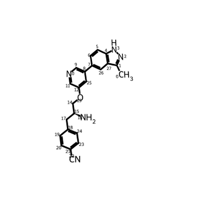 Cc1n[nH]c2ccc(-c3cncc(OC[C@@H](N)Cc4ccc(C#N)cc4)c3)cc12